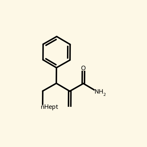 C=C(C(N)=O)C(CCCCCCCC)c1ccccc1